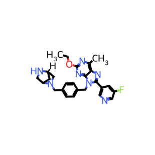 CCOc1nc(C)c2nc(-c3cncc(F)c3)n(Cc3ccc(CN4C[C@@H]5CC4CN5)cc3)c2n1